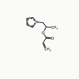 C=CC(=O)OC(C)Cn1cccc1